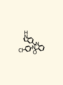 O=c1c2ccccc2nc(-c2ccc3[nH]ccc3c2)n1-c1ccc(Cl)cc1